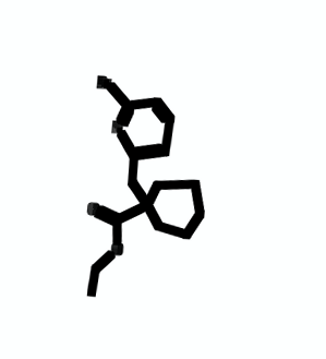 CCOC(=O)C1(Cc2cccc(Br)n2)CCCCC1